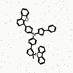 CC1(n2c3ccccc3c3ccccc32)C=C(c2ccc(N(c3ccc(-c4ccccc4)cc3)c3ccc(-c4cccc5c4oc4ccccc45)cc3)cc2)C=CC1